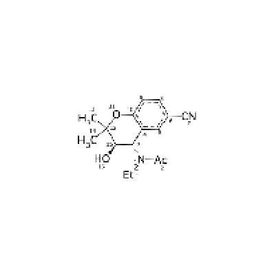 CCN(C(C)=O)[C@H]1c2cc(C#N)ccc2OC(C)(C)[C@@H]1O